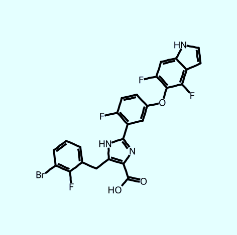 O=C(O)c1nc(-c2cc(Oc3c(F)cc4[nH]ccc4c3F)ccc2F)[nH]c1Cc1cccc(Br)c1F